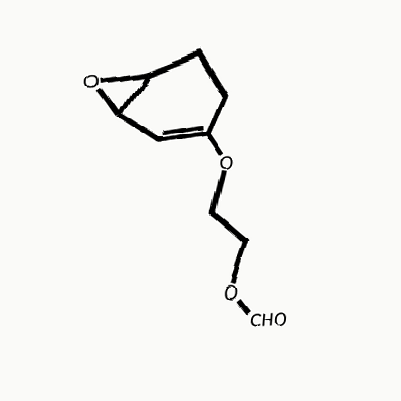 O=COCCOC1=CC2OC2CC1